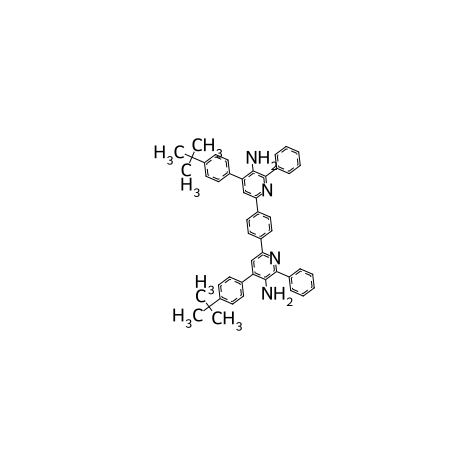 CC(C)(C)c1ccc(-c2cc(-c3ccc(-c4cc(-c5ccc(C(C)(C)C)cc5)c(N)c(-c5ccccc5)n4)cc3)nc(-c3ccccc3)c2N)cc1